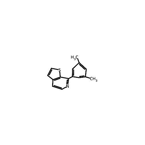 Cc1cc(C)cc(-c2nccc3ccsc23)c1